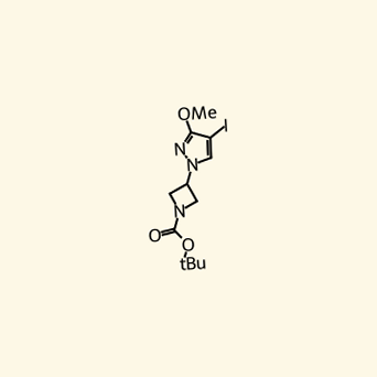 COc1nn(C2CN(C(=O)OC(C)(C)C)C2)cc1I